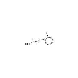 Cc1ccccc1CSS[C]=O